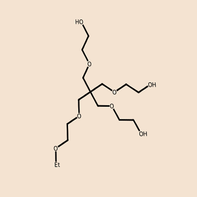 CCOCCOCC(COCCO)(COCCO)COCCO